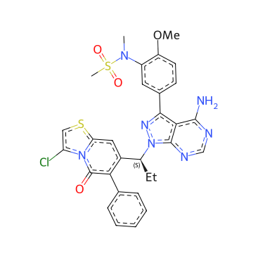 CC[C@@H](c1cc2scc(Cl)n2c(=O)c1-c1ccccc1)n1nc(-c2ccc(OC)c(N(C)S(C)(=O)=O)c2)c2c(N)ncnc21